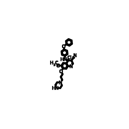 COc1cc2c(cc1OCCCN1CCNCC1)N=CC(C#N)C2(Cl)Nc1ccc(Oc2ccccc2)cc1